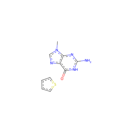 Cn1cnc2c(=O)[nH]c(N)nc21.c1ccsc1